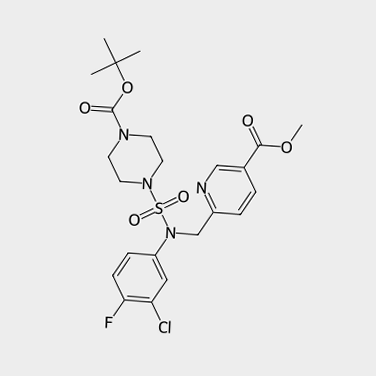 COC(=O)c1ccc(CN(c2ccc(F)c(Cl)c2)S(=O)(=O)N2CCN(C(=O)OC(C)(C)C)CC2)nc1